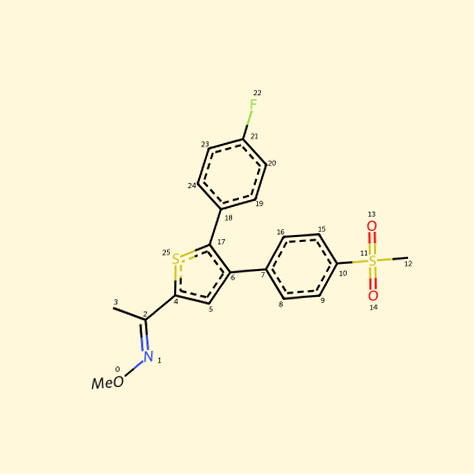 CON=C(C)c1cc(-c2ccc(S(C)(=O)=O)cc2)c(-c2ccc(F)cc2)s1